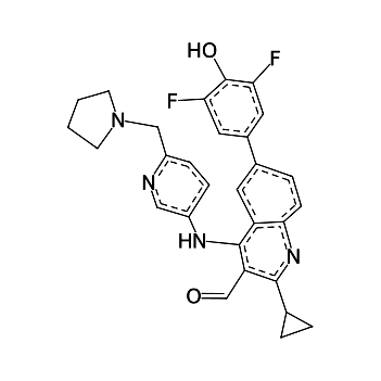 O=Cc1c(C2CC2)nc2ccc(-c3cc(F)c(O)c(F)c3)cc2c1Nc1ccc(CN2CCCC2)nc1